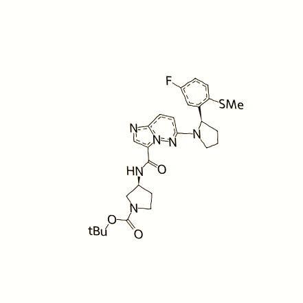 CSc1ccc(F)cc1[C@H]1CCCN1c1ccc2ncc(C(=O)N[C@H]3CCN(C(=O)OC(C)(C)C)C3)n2n1